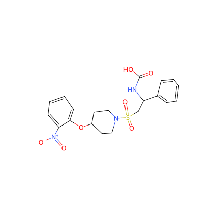 O=C(O)NC(CS(=O)(=O)N1CCC(Oc2ccccc2[N+](=O)[O-])CC1)c1ccccc1